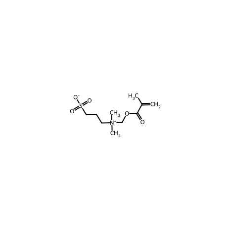 C=C(C)C(=O)OC[N+](C)(C)CCCS(=O)(=O)[O-]